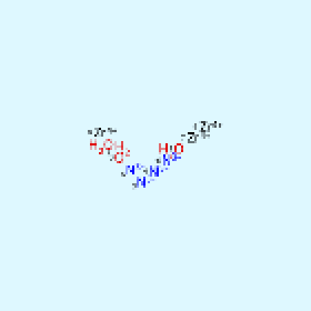 O.O.O.[N-3].[N-3].[N-3].[N-3].[Zr+4].[Zr+4].[Zr+4]